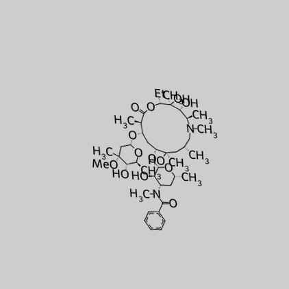 CC[C@H]1OC(=O)[C@H](C)[C@@H](O[C@H]2C[C@@](C)(OC)[C@@H](O)[C@H](C)O2)C[C@@H](O[C@@H]2O[C@H](C)C[C@H](N(C)C(=O)c3ccccc3)[C@H]2O)[C@](C)(O)C[C@@H](C)CN(C)[C@H](C)[C@@H](O)[C@]1(C)O